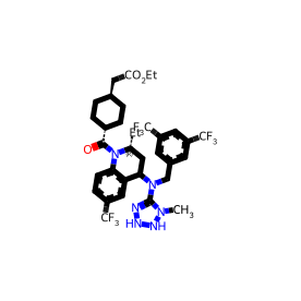 CCOC(=O)C[C@H]1CC[C@H](C(=O)N2c3ccc(C(F)(F)F)cc3C(N(Cc3cc(C(F)(F)F)cc(C(F)(F)F)c3)C3=NNNN3C)C[C@H]2CC)CC1